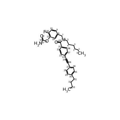 CCCCCCN(Cc1ccc(F)c(OC(N)=O)c1)C(=O)c1ccc(C#Cc2ccc(CCCC)cc2)cc1